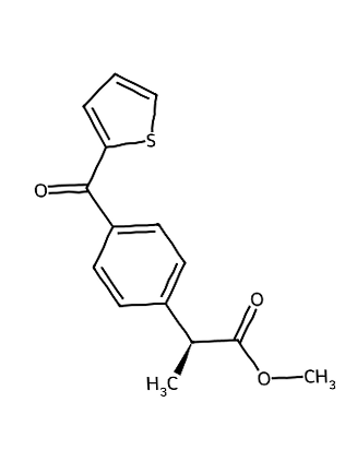 COC(=O)[C@@H](C)c1ccc(C(=O)c2cccs2)cc1